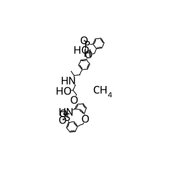 C.CC(Cc1ccc(OCc2ccccc2[P@H](=O)O)cc1)NCC(O)COc1ccc2cc1NS(=O)(=O)c1cccc(c1)CO2